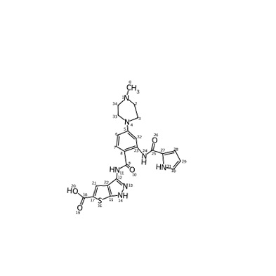 CN1CCN(c2ccc(C(=O)Nc3n[nH]c4sc(C(=O)O)cc34)c(NC(=O)c3ccc[nH]3)c2)CC1